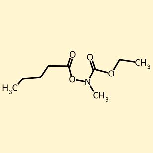 CCCCC(=O)ON(C)C(=O)OCC